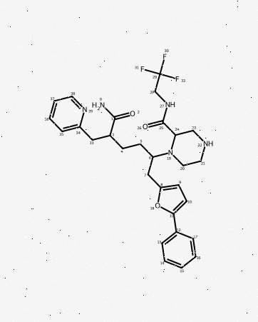 NC(=O)C(CCC(Cc1ccc(-c2ccccc2)o1)N1CCNCC1C(=O)NCC(F)(F)F)Cc1ccccn1